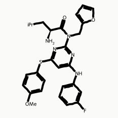 COc1ccc(Sc2cc(Nc3cccc(F)c3)nc(N(Cc3ccco3)C(=O)[C@@H](N)CC(C)C)n2)cc1